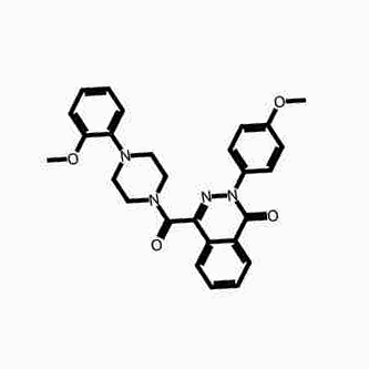 COc1ccc(-n2nc(C(=O)N3CCN(c4ccccc4OC)CC3)c3ccccc3c2=O)cc1